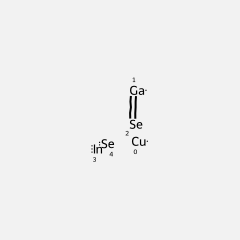 [Cu].[Ga]=[Se].[In].[Se]